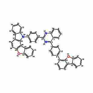 c1ccc2c(-c3ccc(-c4cccc5c4oc4ccccc45)cc3)nc(-c3ccc(-n4c5ccccc5c5ccc6oc7ccccc7c6c54)cc3)nc2c1